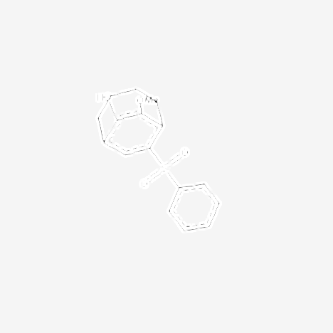 COc1c(O)c2cc(S(=O)(=O)c3ccccc3)c1CCCC2